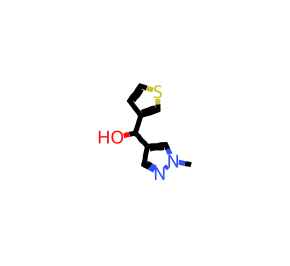 Cn1cc(C(O)c2ccsc2)cn1